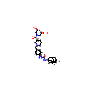 C[C@]12CC3CC(NC(=O)Nc4ccc(CN5CCC[C@H](C(=O)N(CCO)CCO)C5)cc4F)(C1)C[C@@](C)(C3)C2